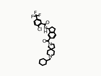 O=C(NC1CCc2ccc(C(=O)N3CCC4(CCN(CC5CCCCC5)CC4)C3)cc21)c1cc(C(F)(F)F)ccc1Cl